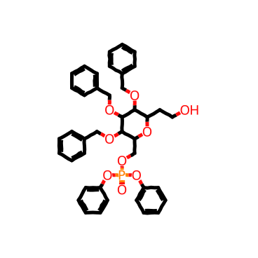 O=P(OCC1OC(CCO)C(OCc2ccccc2)C(OCc2ccccc2)C1OCc1ccccc1)(Oc1ccccc1)Oc1ccccc1